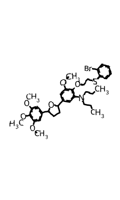 CCCN(CCC)c1cc(C2CCC(c3cc(OC)c(OC)c(OC)c3)O2)cc(OC)c1OCCSc1ccccc1Br